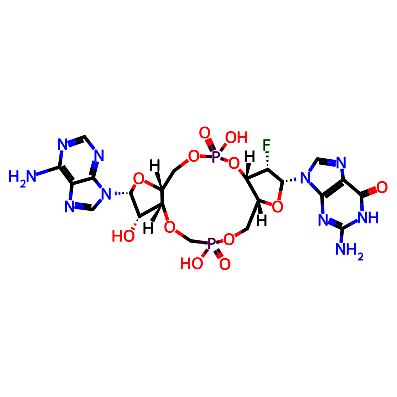 Nc1nc2c(ncn2[C@@H]2O[C@@H]3COP(=O)(O)CO[C@@H]4[C@H](O)[C@H](n5cnc6c(N)ncnc65)O[C@@H]4COP(=O)(O)O[C@@H]3[C@@H]2F)c(=O)[nH]1